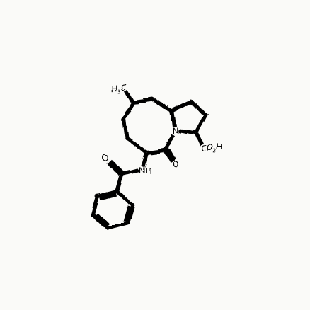 CC1CCC(NC(=O)c2ccccc2)C(=O)N2C(CCC2C(=O)O)C1